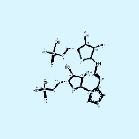 O=P(O)(O)OC[C@H]1OC(NC=Nc2cncn2C2O[C@H](COP(=O)(O)O)[C@@H](O)[C@H]2O)[C@H](O)[C@@H]1O